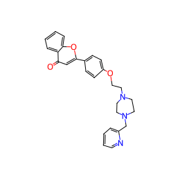 O=c1cc(-c2ccc(OCCN3CCN(Cc4ccccn4)CC3)cc2)oc2ccccc12